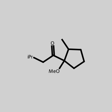 COC1(C(=O)CC(C)C)CCCC1C